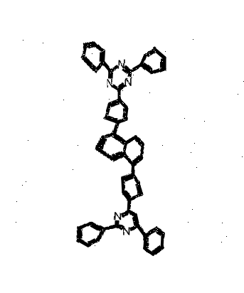 c1ccc(-c2cc(-c3ccc(-c4cccc5c(-c6ccc(-c7nc(-c8ccccc8)nc(-c8ccccc8)n7)cc6)cccc45)cc3)nc(-c3ccccc3)n2)cc1